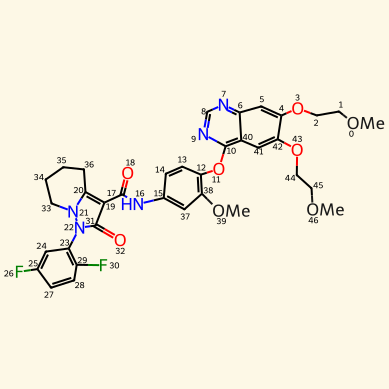 COCCOc1cc2ncnc(Oc3ccc(NC(=O)c4c5n(n(-c6cc(F)ccc6F)c4=O)CCCC5)cc3OC)c2cc1OCCOC